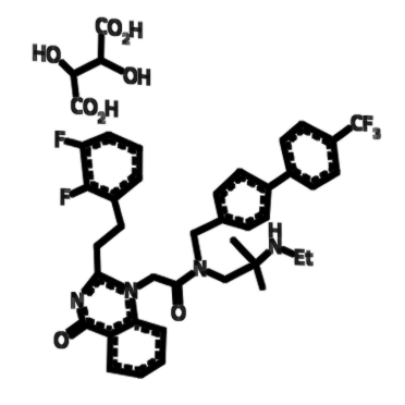 CCNC(C)(C)CN(Cc1ccc(-c2ccc(C(F)(F)F)cc2)cc1)C(=O)Cn1c(CCc2cccc(F)c2F)nc(=O)c2ccccc21.O=C(O)C(O)C(O)C(=O)O